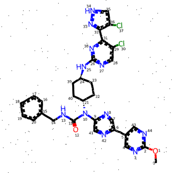 COc1ncc(-c2cnc(N(C(=O)NCc3ccccc3)[C@H]3CC[C@H](Nc4ncc(Cl)c(-c5n[nH]cc5Cl)n4)CC3)cn2)cn1